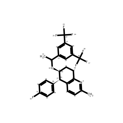 Cc1ccc2c(n1)CC[C@H](OC(C)c1cc(C(F)(F)F)cc(C(F)(F)F)c1)[C@H]2c1ccc(F)cc1